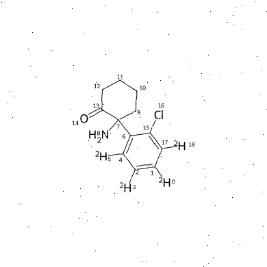 [2H]c1c([2H])c([2H])c(C2(N)CCCCC2=O)c(Cl)c1[2H]